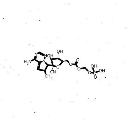 CC1C=C2C(N)=NC=NN2C1[C@]1(C#N)O[C@H](COC(=O)OCOP(=O)(O)O)[C@@H](O)[C@H]1O